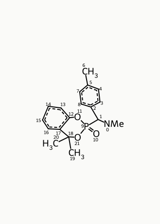 CNC(c1ccc(C)cc1)P1(=O)Oc2ccccc2C(C)(C)O1